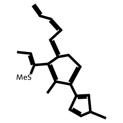 C=C/C=C\C=C1/CC=C(C2=CC(C)C=C2)C(C)=C1/C(=C/C)SC